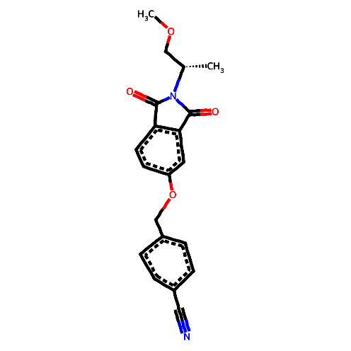 COC[C@H](C)N1C(=O)c2ccc(OCc3ccc(C#N)cc3)cc2C1=O